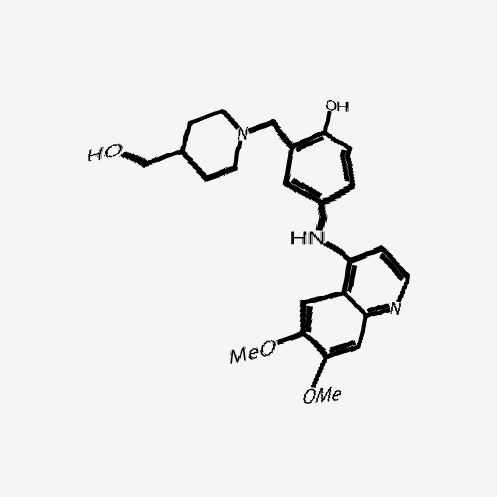 COc1cc2nccc(Nc3ccc(O)c(CN4CCC(CO)CC4)c3)c2cc1OC